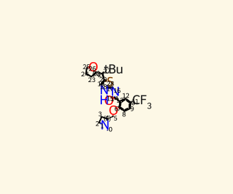 CN1CC[C@H]1COc1ccc(C(F)(F)F)cc1C(=O)N=c1[nH]cc(C([C@H]2CCCO2)C(C)(C)C)s1